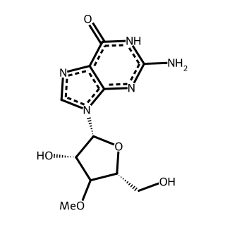 COC1[C@@H](CO)O[C@@H](n2cnc3c(=O)[nH]c(N)nc32)[C@H]1O